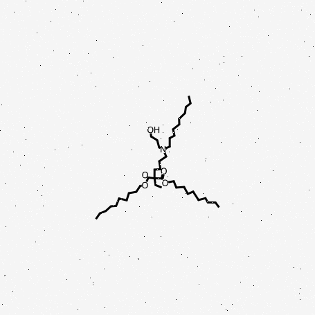 CCCCCCCCCCOC(=O)C(CC)(CCCCN(CCCO)CCCCCCCCCC)C(=O)OCCCCCCCCCC